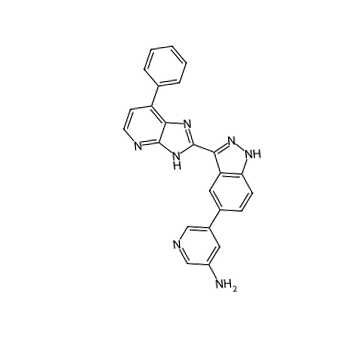 Nc1cncc(-c2ccc3[nH]nc(-c4nc5c(-c6ccccc6)ccnc5[nH]4)c3c2)c1